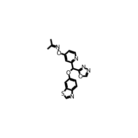 CC(C)=NOc1ccnc(C(Oc2ccc3ncsc3c2)c2nnco2)c1